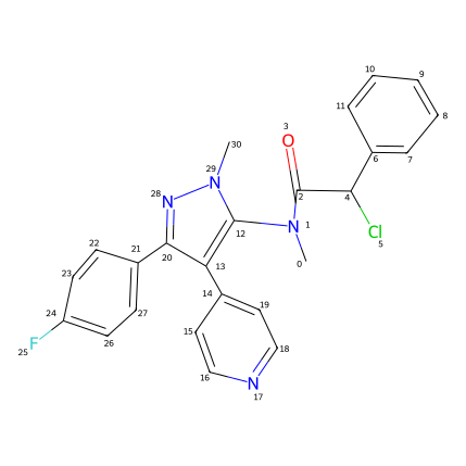 CN(C(=O)C(Cl)c1ccccc1)c1c(-c2ccncc2)c(-c2ccc(F)cc2)nn1C